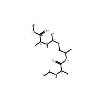 CCNC(C)C(=O)OC(C)CCC(C)NC(C)C(=O)OC